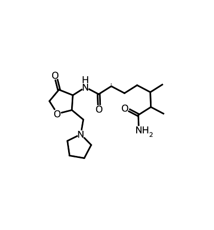 CC(CC[CH]C(=O)NC1C(=O)COC1CN1CCCC1)C(C)C(N)=O